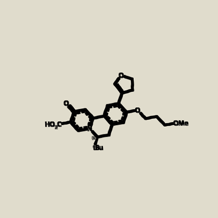 COCCCOc1cc2c(cc1C1=COCC1)-c1cc(=O)c(C(=O)O)cn1[C@H](C(C)(C)C)C2